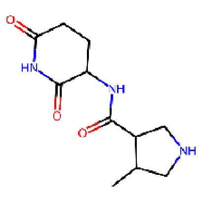 CC1CNCC1C(=O)NC1CCC(=O)NC1=O